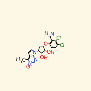 Cc1c2ccn([C@@H]3C[C@H](Oc4ccc(Cl)c(Cl)c4CN)[C@@H](O)[C@H]3O)c2nc[n+]1[O-]